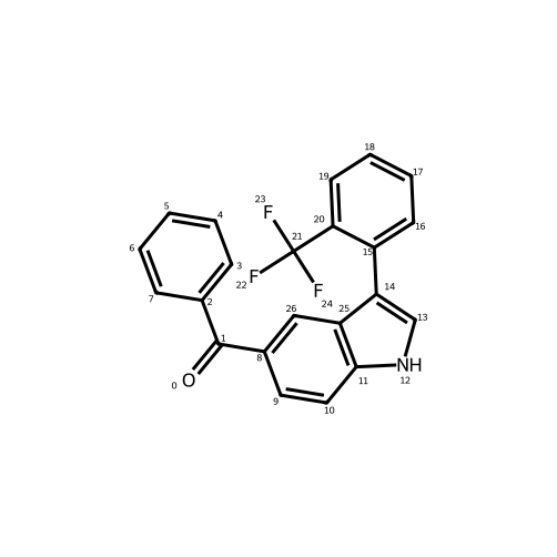 O=C(c1ccccc1)c1ccc2[nH]cc(-c3ccccc3C(F)(F)F)c2c1